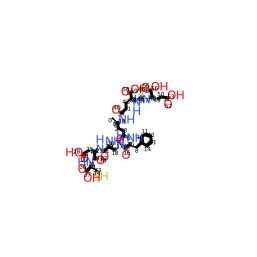 C[C@H](CCC(=O)N[C@@H](Cc1ccccc1)C(=O)NC[C@H](N)C(=O)N[C@@H](CC(=O)O)C(=O)N[C@@H](CS)C(=O)O)NC(=O)CC[C@H](NC(=S)N[C@@H](CCC(=O)O)C(=O)O)C(=O)O